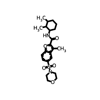 Cc1c(C(=O)NC2CCCC(C)C2C)oc2ccc(S(=O)(=O)N3CCOCC3)cc12